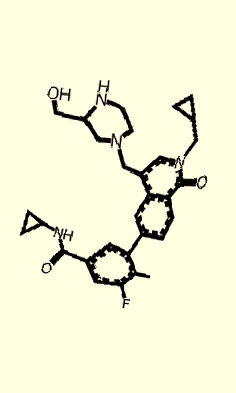 Cc1c(F)cc(C(=O)NC2CC2)cc1-c1ccc2c(=O)n(CC3CC3)cc(CN3CCNC(CO)C3)c2c1